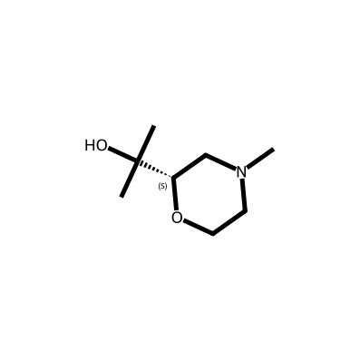 CN1CCO[C@H](C(C)(C)O)C1